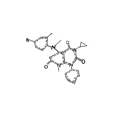 Cc1cc(Br)ccc1N(C)c1cc(=O)n(C)c2c1c(=O)n(C1CC1)c(=O)n2-c1ccccc1